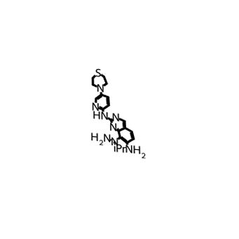 CC(C)N(N)c1c(N)ccc2cnc(Nc3ccc(N4CCSCC4)cn3)nc12